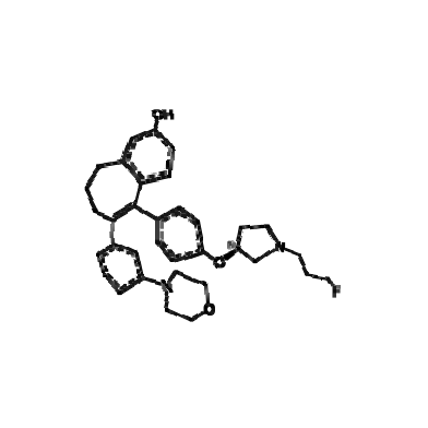 Oc1ccc2c(c1)CCCC(c1cccc(N3CCOCC3)c1)=C2c1ccc(O[C@H]2CCN(CCCF)C2)cc1